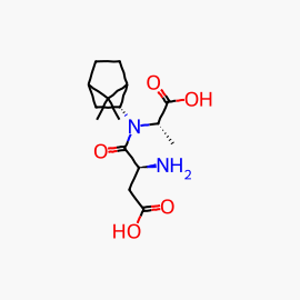 C[C@@H](C(=O)O)N(C(=O)[C@@H](N)CC(=O)O)[C@@H]1CC2CCC1C2(C)C